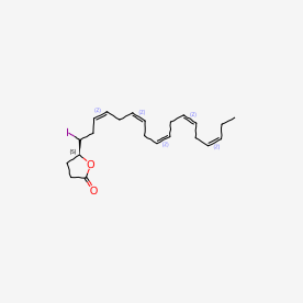 CC/C=C\C/C=C\C/C=C\C/C=C\C/C=C\CC(I)[C@@H]1CCC(=O)O1